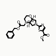 COC(=O)c1cnc(N2C[C@H]3OCCN(CC(=O)OCc4ccccc4)[C@H]3C2)s1